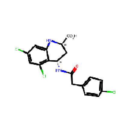 O=C(Cc1ccc(Cl)cc1)N[C@H]1C[C@H](C(=O)O)Nc2cc(Cl)cc(Cl)c21